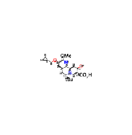 COc1nc2c(cc1OCC1CC1)C[C@@H](C(C)(C)C)n1cc(C(=O)O)c(=O)cc1-2